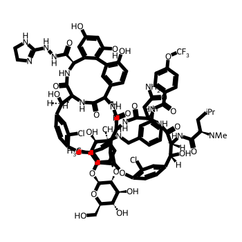 CN[C@H](CC(C)C)C(=O)N[C@H]1C(=O)N[C@@H](CC(N)=O)C(=O)N[C@H]2C(=O)N[C@H]3C(=O)N[C@H](C(=O)N[C@@H](C(=O)NNC4=NCCN4)c4cc(O)cc(O)c4-c4cc3ccc4O)[C@H](O)c3ccc(c(Cl)c3)Oc3cc2cc(c3O[C@@H]2O[C@H](CO)[C@@H](O)[C@H](O)[C@H]2O[C@H]2C[C@](C)(NCc3cccc(NC(=O)c4ccc(OC(F)(F)F)cc4)c3)[C@H](O)[C@H](C)O2)Oc2ccc(cc2Cl)[C@H]1O